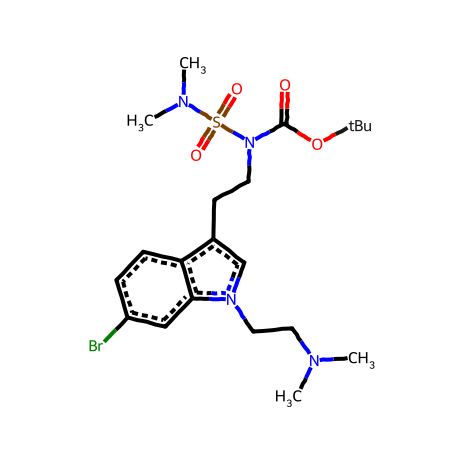 CN(C)CCn1cc(CCN(C(=O)OC(C)(C)C)S(=O)(=O)N(C)C)c2ccc(Br)cc21